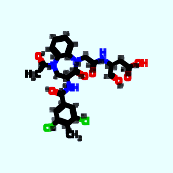 CC(=O)N1C[C@H](NC(=O)c2cc(Cl)c(C)c(Cl)c2)C(=O)N(CC(=O)N[C@H](C=O)CC(=O)O)c2ccccc21